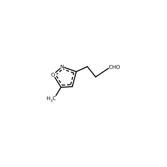 Cc1cc(CCC=O)no1